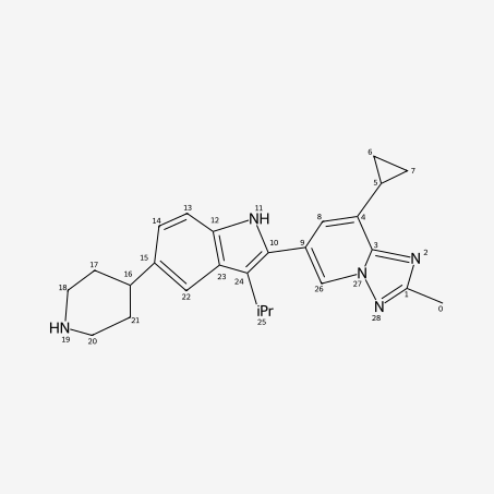 Cc1nc2c(C3CC3)cc(-c3[nH]c4ccc(C5CCNCC5)cc4c3C(C)C)cn2n1